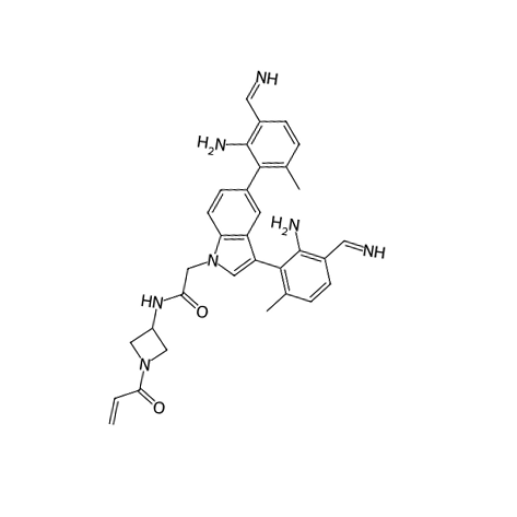 C=CC(=O)N1CC(NC(=O)Cn2cc(-c3c(C)ccc(C=N)c3N)c3cc(-c4c(C)ccc(C=N)c4N)ccc32)C1